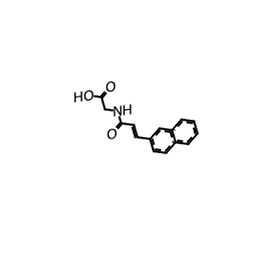 O=C(O)CNC(=O)C=Cc1ccc2ccccc2c1